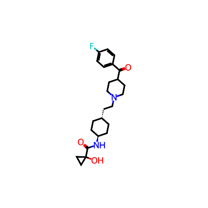 O=C(c1ccc(F)cc1)C1CCN(CC[C@H]2CC[C@H](NC(=O)C3(O)CC3)CC2)CC1